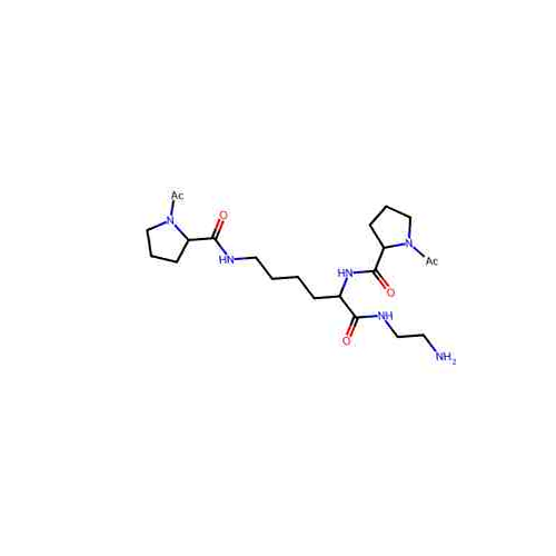 CC(=O)N1CCCC1C(=O)NCCCCC(NC(=O)C1CCCN1C(C)=O)C(=O)NCCN